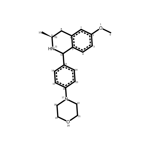 COc1ccc2c(c1)C[C@H](C)NC2c1ccc(N2CCOCC2)cc1